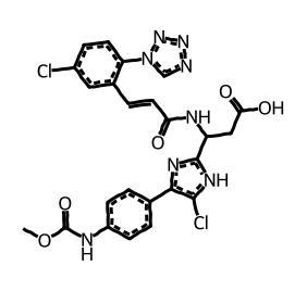 COC(=O)Nc1ccc(-c2nc(C(CC(=O)O)NC(=O)C=Cc3cc(Cl)ccc3-n3cnnn3)[nH]c2Cl)cc1